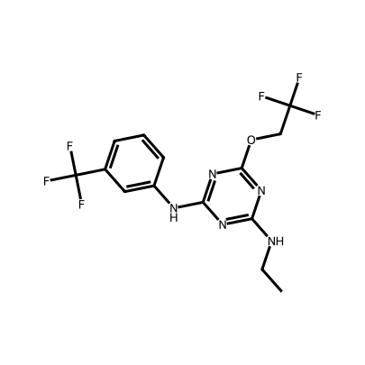 CCNc1nc(Nc2cccc(C(F)(F)F)c2)nc(OCC(F)(F)F)n1